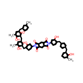 Cc1ccc(O)c(Cc2cc(C)c(O)c(Cc3cc(C)c(O)c(Cc4ccc(-n5c(=O)c6cc7c(=O)n(-c8ccc(Cc9ccc(Cc%10cccc(C)c%10O)cc9)c(O)c8)c(=O)c7cc6c5=O)cc4O)c3)c2)c1